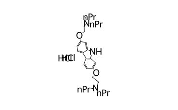 CCCN(CCC)CCOc1ccc2c(c1)[nH]c1cc(OCCN(CCC)CCC)ccc12.Cl.Cl